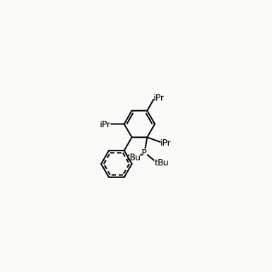 CC(C)C1=CC(C(C)C)(P(C(C)(C)C)C(C)(C)C)C(c2ccccc2)C(C(C)C)=C1